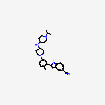 Cc1ccc(N2CCC(NC3CCN(C(C)C)CC3)CC2)cc1-c1cc2cc(C#N)ccc2[nH]1